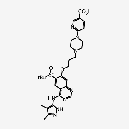 Cc1n[nH]c(Nc2ncnc3cc(OCCCN4CCN(c5ccc(C(=O)O)cn5)CC4)c([S+]([O-])C(C)(C)C)cc23)c1C